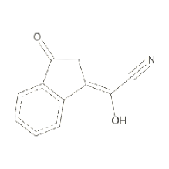 N#C/C(O)=C1\CC(=O)c2ccccc21